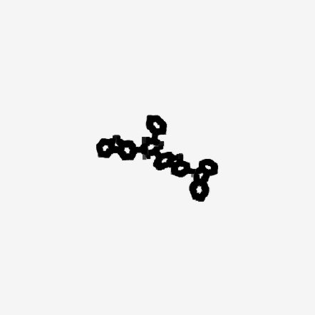 c1ccc(-c2nc(-c3ccc4c(c3)oc3ccccc34)nc(-c3ccc4c(c3)oc3cc(-n5c6ccccc6c6ccccc65)ccc34)n2)cc1